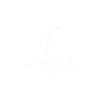 CC(C)c1csc(-c2c(CC(F)(F)F)[c]nc3ccccc23)n1